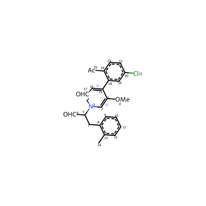 COC(=C/N(C)C(C=O)Cc1ccccc1C)/C(=C\C=O)c1cc(Cl)ccc1C(C)=O